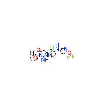 C[C@@]1(c2cccc(Nc3ccc(OC(F)F)nc3)c2Cl)CC(=O)N(C2CC3CC[C@H](C2)O3)C(=N)N1